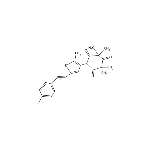 Cc1sc(/C=C/c2ccc(F)cc2)cc1C1C(=O)C(C)(C)C(=O)C(C)(C)C1=O